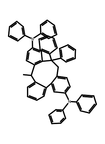 CC1c2ccccc2-c2cc(N(c3ccccc3)c3ccccc3)ccc2CC(c2ccccc2)(c2ccccc2)c2cc(N(c3ccccc3)c3ccccc3)ccc21